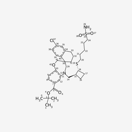 CC(C)(C)OC(=O)c1ccc2c(c1)N(C[C@@H]1CC[C@H]1SCCCCCS(N)(=O)=O)CC1(CCCc3cc(Cl)ccc31)CO2